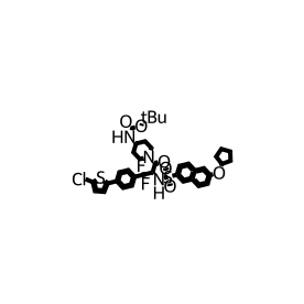 CC(C)(C)OC(=O)NC1CCN(C(=O)C(NS(=O)(=O)c2ccc3cc(OC4CCCC4)ccc3c2)C(F)(F)c2ccc(-c3ccc(Cl)s3)cc2)CC1